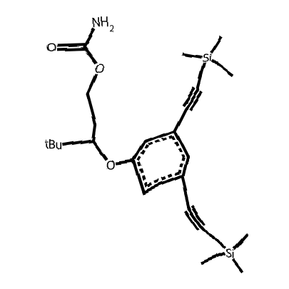 CC(C)(C)C(CCOC(N)=O)Oc1cc(C#C[Si](C)(C)C)cc(C#C[Si](C)(C)C)c1